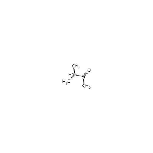 C[Si](=O)[SiH](C)C